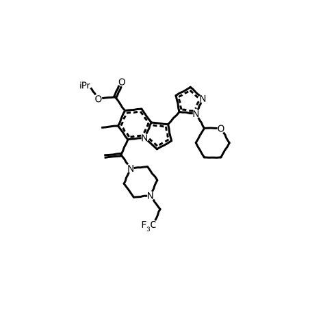 C=C(c1c(C)c(C(=O)OC(C)C)cc2c(-c3ccnn3C3CCCCO3)ccn12)N1CCN(CC(F)(F)F)CC1